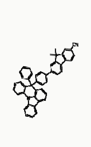 CC1(C)c2cc(C#N)ccc2-c2ccc(-c3ccc(C4(c5ccccc5)c5ccccc5-n5c6ccccc6c6cccc4c65)cc3)cc21